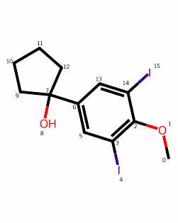 COc1c(I)cc(C2(O)CCCC2)cc1I